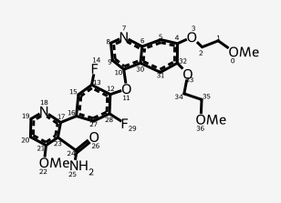 COCCOc1cc2nccc(Oc3c(F)cc(-c4nccc(OC)c4C(N)=O)cc3F)c2cc1OCCOC